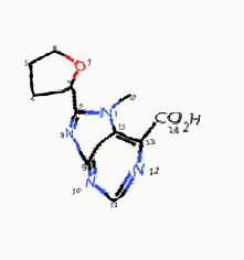 Cn1c(C2CCCO2)nc2ncnc(C(=O)O)c21